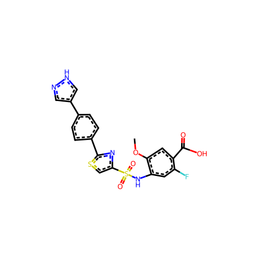 COc1cc(C(=O)O)c(F)cc1NS(=O)(=O)c1csc(-c2ccc(-c3cn[nH]c3)cc2)n1